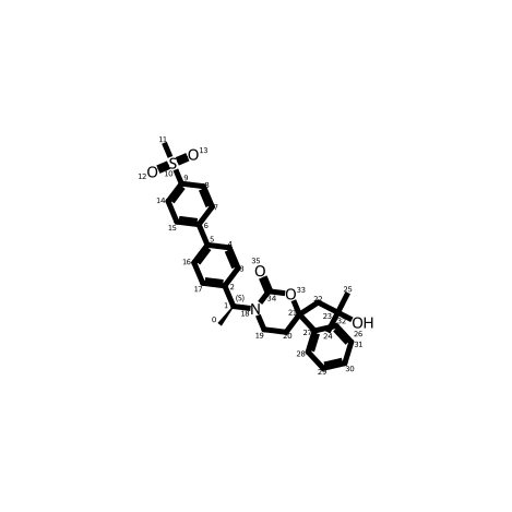 C[C@@H](c1ccc(-c2ccc(S(C)(=O)=O)cc2)cc1)N1CCC(CC(C)(C)O)(c2ccccc2)OC1=O